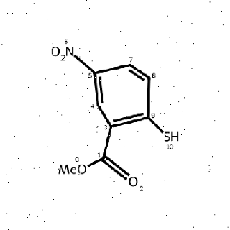 COC(=O)c1cc([N+](=O)[O-])ccc1S